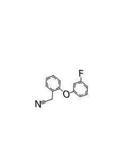 N#CCc1ccccc1Oc1cccc(F)c1